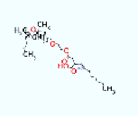 CCCCCC/C=C/C(CC(=O)OCCOCCC[Si](C)(C)O[Si](C)(C)CCCC)C(=O)O